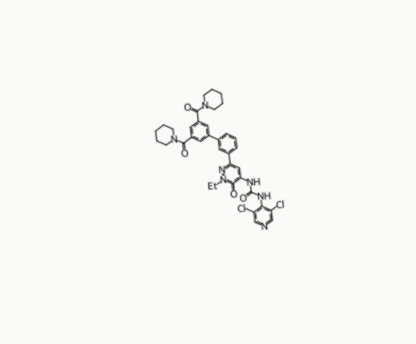 CCn1nc(-c2cccc(-c3cc(C(=O)N4CCCCC4)cc(C(=O)N4CCCCC4)c3)c2)cc(NC(=O)Nc2c(Cl)cncc2Cl)c1=O